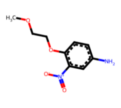 COCCOc1ccc(N)cc1[N+](=O)[O-]